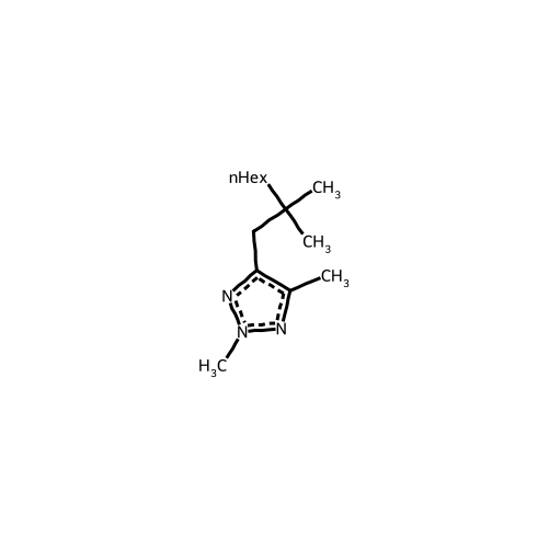 CCCCCCC(C)(C)Cc1nn(C)nc1C